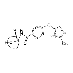 O=C(N[C@H]1CN2CCC1CC2)c1ccc(Oc2cnc(C(F)(F)F)[nH]2)cc1